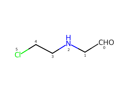 O=CCNCCCl